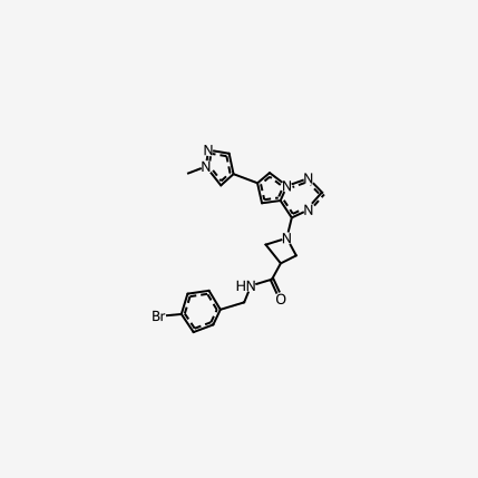 Cn1cc(-c2cc3c(N4CC(C(=O)NCc5ccc(Br)cc5)C4)ncnn3c2)cn1